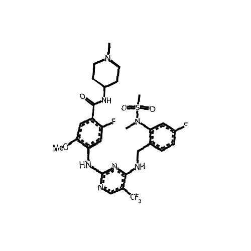 COc1cc(C(=O)NC2CCN(C)CC2)c(F)cc1Nc1ncc(C(F)(F)F)c(NCc2ccc(F)cc2N(C)S(C)(=O)=O)n1